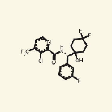 O=C(N[C@@H](c1cccc(F)c1)C1(O)CCC(F)(F)CC1)c1nccc(C(F)(F)F)c1Cl